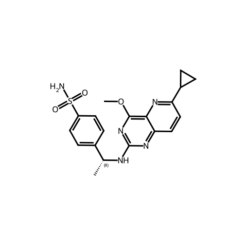 COc1nc(N[C@H](C)c2ccc(S(N)(=O)=O)cc2)nc2ccc(C3CC3)nc12